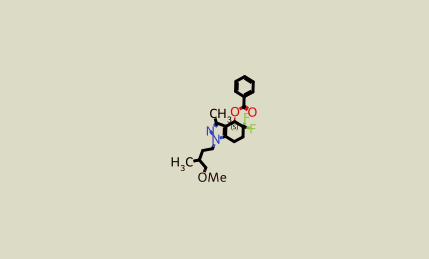 COCC(C)CCn1nc(C)c2c1CCC(F)(F)[C@H]2OC(=O)c1ccccc1